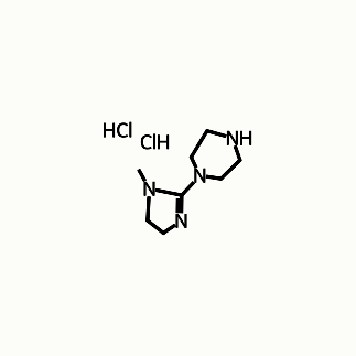 CN1CCN=C1N1CCNCC1.Cl.Cl